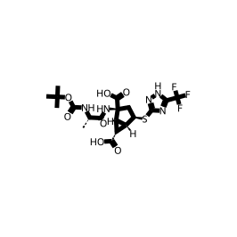 C[C@H](NC(=O)OC(C)(C)C)C(=O)N[C@@]1(C(=O)O)C[C@@H](Sc2n[nH]c(C(F)(F)F)n2)[C@H]2[C@H](C(=O)O)[C@H]21